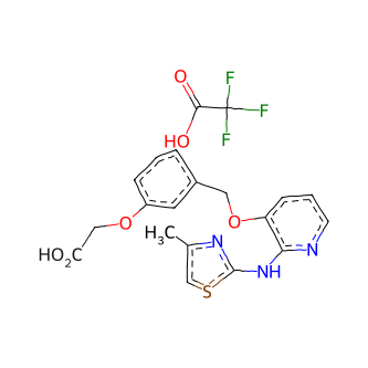 Cc1csc(Nc2ncccc2OCc2cccc(OCC(=O)O)c2)n1.O=C(O)C(F)(F)F